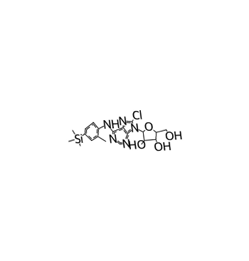 Cc1cc([Si](C)(C)C)ccc1Nc1ncnc2c1nc(Cl)n2C1OC(CO)C(O)C1O